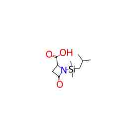 CC(C)C[Si](C)(C)N1C(=O)CC1C(=O)O